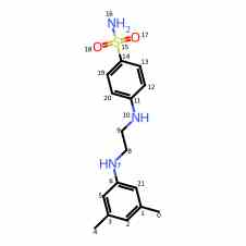 Cc1cc(C)cc(NCCNc2ccc(S(N)(=O)=O)cc2)c1